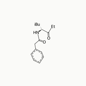 CCC(=O)[C@@H](NC(=O)Cc1ccccc1)[C@@H](C)CC